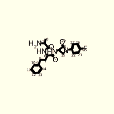 CC(N)C(=O)NC(CCc1ccccc1)C(=O)N[C@H]1CN(c2ccc(F)cc2)C1=O